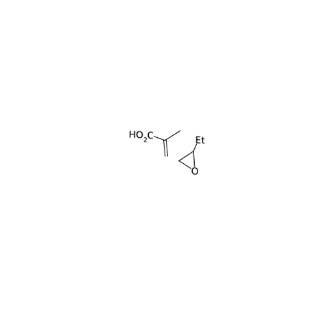 C=C(C)C(=O)O.CCC1CO1